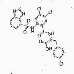 O=C(N[C@@H](Cc1ccc(Cl)cc1)C(=O)O)c1cc(Cl)c(Cl)cc1NS(=O)(=O)c1cccc2nsnc12